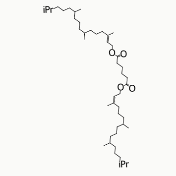 CC(=CCOC(=O)CCCCC(=O)OCC=C(C)CCCC(C)CCCC(C)CCCC(C)C)CCCC(C)CCCC(C)CCCC(C)C